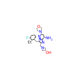 CCc1c(F)cccc1Cc1c(CN2CC(O)C2)nc2c(N)cc(N3CCOCC3)nn12